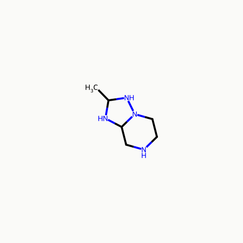 CC1NC2CNCCN2N1